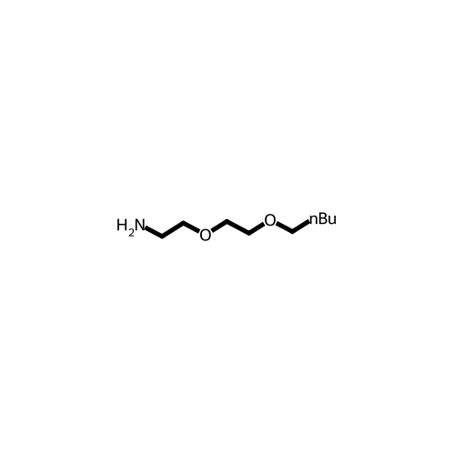 CCCCCOCCOCCN